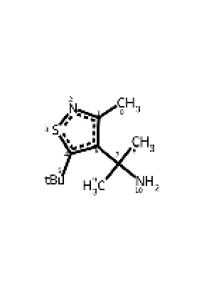 Cc1nsc(C(C)(C)C)c1C(C)(C)N